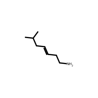 CC(C)C/C=C/CCN